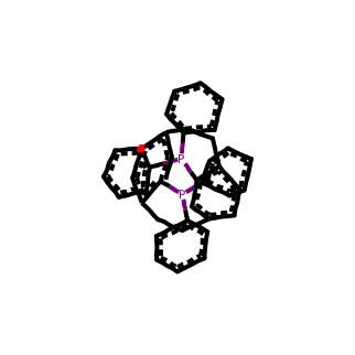 c1ccc(P(c2ccccc2)c2cc3ccc2CCc2ccc(c(P(c4ccccc4)c4ccccc4)c2)CC3)cc1